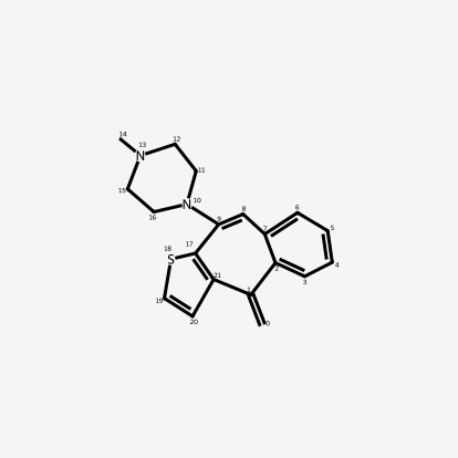 C=C1c2ccccc2C=C(N2CCN(C)CC2)c2sccc21